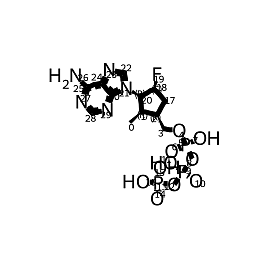 C[C@@H]1[C@H](COP(=O)(O)OP(=O)(O)OP(=O)(O)O)C[C@H](F)[C@@H]1n1cnc2c(N)ncnc21